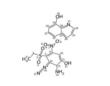 CCS(=O)(=O)C1=C([N+](=O)[O-])C=C(O)C(N)C1=[N+]=[N-].Oc1cccc2cccnc12